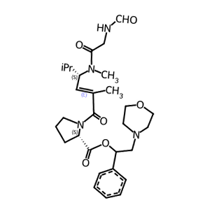 C/C(=C\[C@H](C(C)C)N(C)C(=O)CNC=O)C(=O)N1CCC[C@H]1C(=O)OC(CN1CCOCC1)c1ccccc1